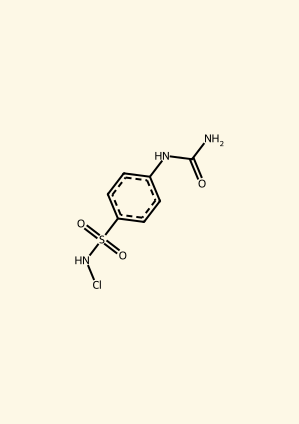 NC(=O)Nc1ccc(S(=O)(=O)NCl)cc1